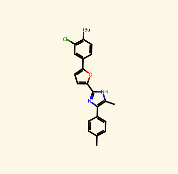 Cc1ccc(-c2nc(-c3ccc(-c4ccc(C(C)(C)C)c(Cl)c4)o3)[nH]c2C)cc1